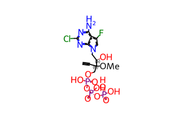 C#C[C@](COP(=O)(O)OP(=O)(O)OP(=O)(O)O)(OC)[C@@H](O)Cn1cc(F)c2c(N)nc(Cl)nc21